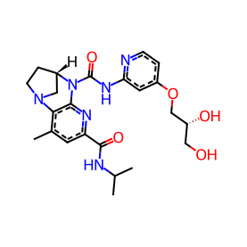 Cc1cc(C(=O)NC(C)C)nc2c1N1CC[C@@H](C1)N2C(=O)Nc1cc(OC[C@H](O)CO)ccn1